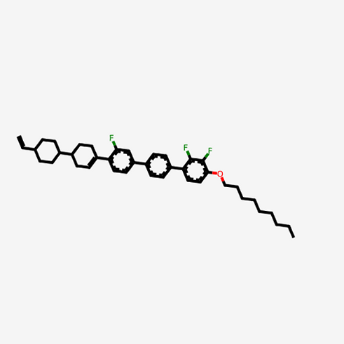 C=CC1CCC(C2CC=C(c3ccc(-c4ccc(-c5ccc(OCCCCCCCCC)c(F)c5F)cc4)cc3F)CC2)CC1